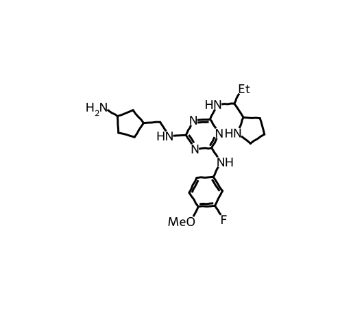 CCC(Nc1nc(NCC2CCC(N)C2)nc(Nc2ccc(OC)c(F)c2)n1)C1CCCN1